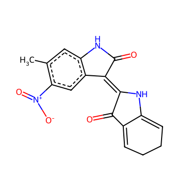 Cc1cc2c(cc1[N+](=O)[O-])/C(=C1/NC3=CCCC=C3C1=O)C(=O)N2